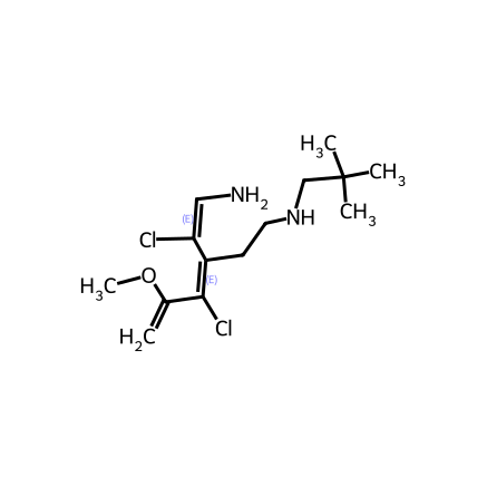 C=C(OC)/C(Cl)=C(CCNCC(C)(C)C)\C(Cl)=C/N